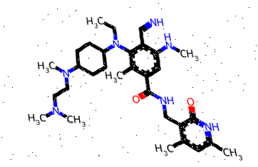 CCN(c1c(C)c(C(=O)NCc2c(C)cc(C)[nH]c2=O)cc(NC)c1C=N)C1CCC(N(C)CCN(C)C)CC1